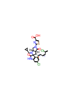 C=C(Cl)/C=C\C=C(/F)[C@H]1[C@@H]2C(=O)N(c3nc(C(=O)O)cs3)C[C@@H]2N(CC2CC2)[C@@]12C(=O)Nc1cc(Cl)ccc12